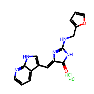 Cl.Cl.O=C1NC(NCc2ccco2)=NC1=Cc1c[nH]c2ncccc12